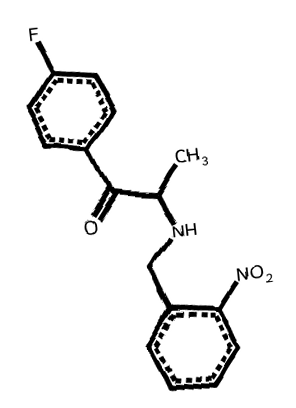 CC(NCc1ccccc1[N+](=O)[O-])C(=O)c1ccc(F)cc1